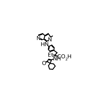 CC[C@@](Cc1ccc(Nc2nc(C)cc3ccncc23)cc1)(NC1=CC(=O)C12CCCCC2)C(=O)O